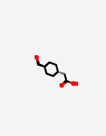 O=C[C@H]1CC[C@H](CC(=O)O)CC1